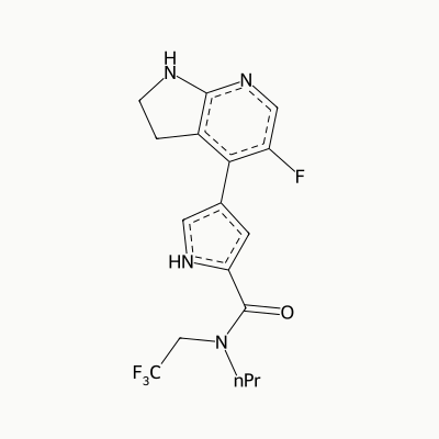 CCCN(CC(F)(F)F)C(=O)c1cc(-c2c(F)cnc3c2CCN3)c[nH]1